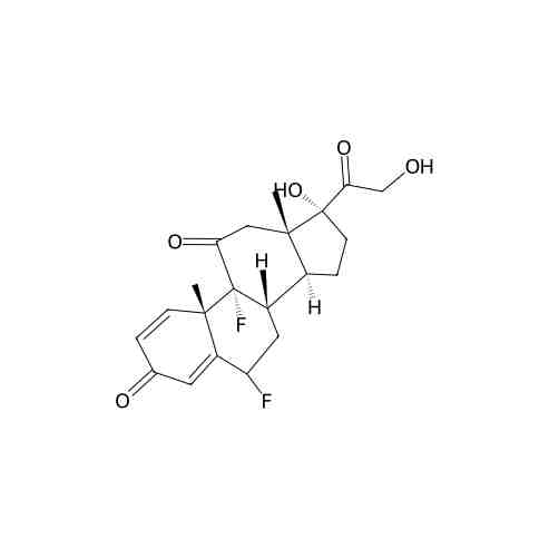 C[C@]12C=CC(=O)C=C1C(F)C[C@H]1[C@@H]3CC[C@](O)(C(=O)CO)[C@@]3(C)CC(=O)[C@@]12F